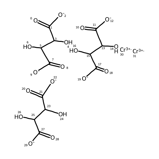 O=C([O-])C(O)C(O)C(=O)[O-].O=C([O-])C(O)C(O)C(=O)[O-].O=C([O-])C(O)C(O)C(=O)[O-].[Cr+3].[Cr+3]